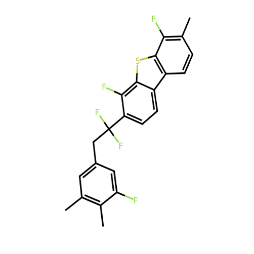 Cc1cc(CC(F)(F)c2ccc3c(sc4c(F)c(C)ccc43)c2F)cc(F)c1C